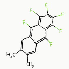 Cc1cc2c(F)c3c(F)c(F)c(F)c(F)c3c(F)c2cc1C